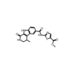 COC(=O)c1cnc(NC(=O)c2ccc3[nH]c4c(c3c2)C(C)CNC4=O)s1